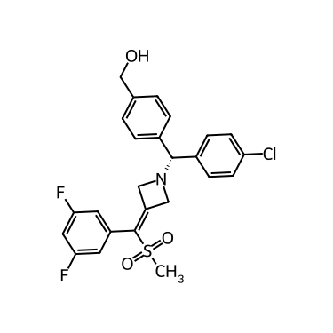 CS(=O)(=O)C(=C1CN([C@@H](c2ccc(Cl)cc2)c2ccc(CO)cc2)C1)c1cc(F)cc(F)c1